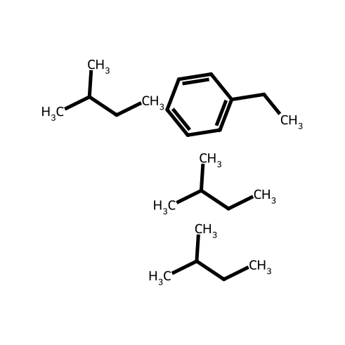 CCC(C)C.CCC(C)C.CCC(C)C.CCc1ccccc1